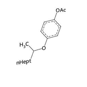 CCCCCCCC(C)Oc1ccc(OC(C)=O)cc1